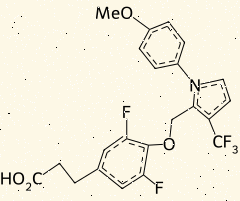 COc1ccc(-n2ccc(C(F)(F)F)c2COc2c(F)cc(CCC(=O)O)cc2F)cc1